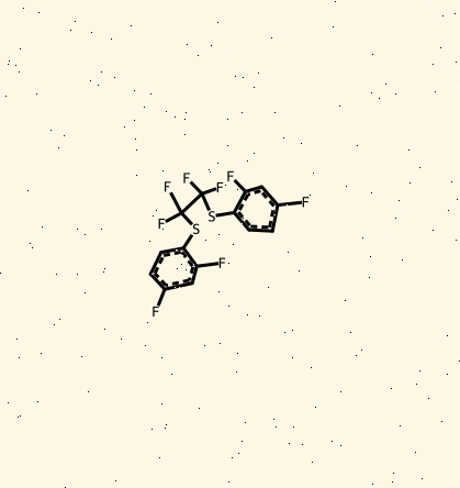 Fc1ccc(SC(F)(F)C(F)(F)Sc2ccc(F)cc2F)c(F)c1